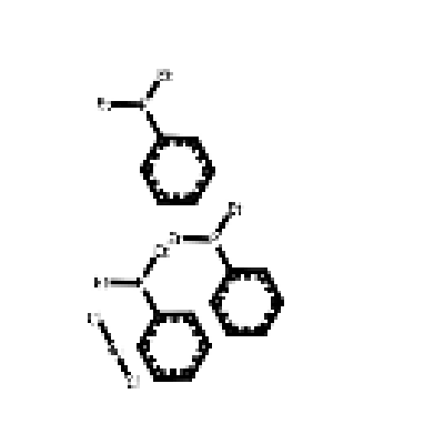 CCP(CC)c1ccccc1.CCP(CC)c1ccccc1.CCP(CC)c1ccccc1.[Cl][Ru][Cl]